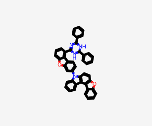 c1ccc(C2N=C(c3cccc4oc5cc(-n6c7ccccc7c7c8c(ccc76)oc6ccccc68)ccc5c34)NC(c3ccccc3)N2)cc1